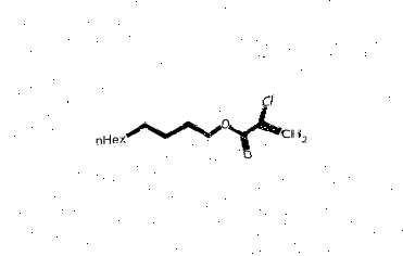 C=C(Cl)C(=O)OCCCCCCCCCC